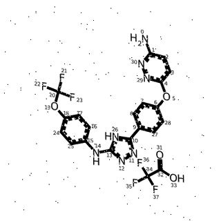 Nc1ccc(Oc2ccc(-c3nnc(Nc4ccc(OC(F)(F)F)cc4)[nH]3)cc2)nn1.O=C(O)C(F)(F)F